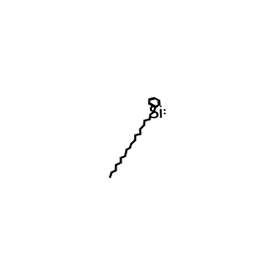 CCCCCCCCCCCCCCCCCC[Si]c1ccccc1